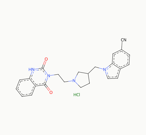 Cl.N#Cc1ccc2ccn(CC3CCN(CCn4c(=O)[nH]c5ccccc5c4=O)C3)c2c1